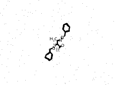 CCC(=O)C(=N\OCc1ccccc1)/C(C)=N/OCc1ccccc1